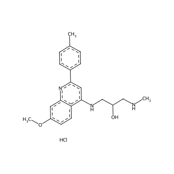 CNCC(O)CNc1cc(-c2ccc(C)cc2)nc2cc(OC)ccc12.Cl